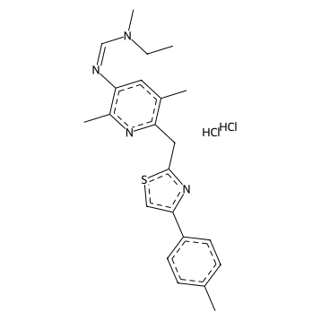 CCN(C)/C=N\c1cc(C)c(Cc2nc(-c3ccc(C)cc3)cs2)nc1C.Cl.Cl